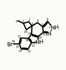 CC1CC2(Cc3c[nH]nc3-c3[nH]c4ccc(Br)cc4c32)C1